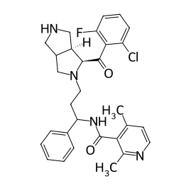 Cc1ccnc(C)c1C(=O)NC(CCN1CC2CNC[C@H]2[C@H]1C(=O)c1c(F)cccc1Cl)c1ccccc1